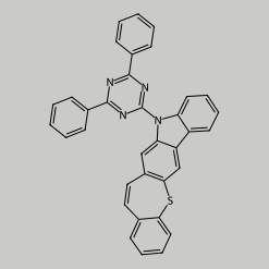 C1=Cc2cc3c(cc2Sc2ccccc21)c1ccccc1n3-c1nc(-c2ccccc2)nc(-c2ccccc2)n1